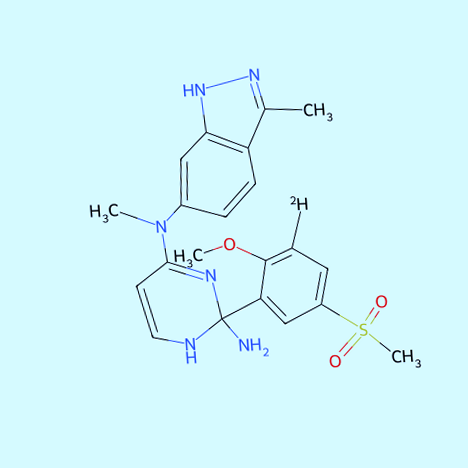 [2H]c1cc(S(C)(=O)=O)cc(C2(N)N=C(N(C)c3ccc4c(C)n[nH]c4c3)C=CN2)c1OC